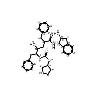 O=C(NC(Cc1ccccc1)C(O)CC(Cc1ccccc1)C(=O)N[C@H]1c2ccccc2C[C@@H]1O)OC1CCOC1